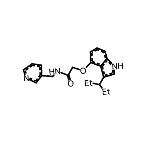 CCC(CC)c1c[nH]c2cccc(OCC(=O)NCc3cccnc3)c12